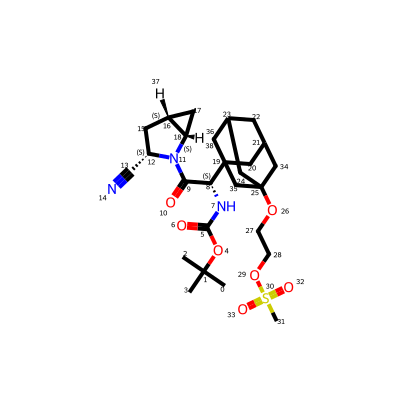 CC(C)(C)OC(=O)N[C@H](C(=O)N1[C@H](C#N)C[C@@H]2C[C@@H]21)C12CC3CC(CC(OCCOS(C)(=O)=O)(C3)C1)C2